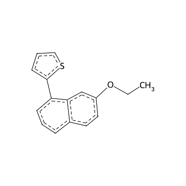 CCOc1ccc2cccc(-c3cccs3)c2c1